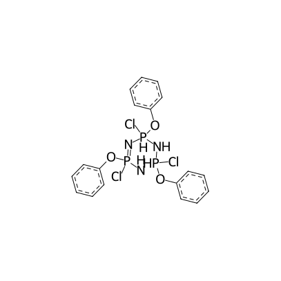 ClP1(Oc2ccccc2)=N[PH](Cl)(Oc2ccccc2)N[PH](Cl)(Oc2ccccc2)N1